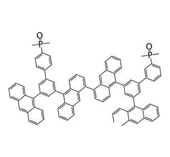 C/C=C\c1c(C)cc2ccccc2c1-c1cc(-c2cccc(P(C)(C)=O)c2)cc(-c2c3ccccc3cc3c(-c4cccc5c(-c6cc(-c7ccc(P(C)(C)=O)cc7)cc(-c7c8ccccc8cc8ccccc78)c6)c6ccccc6cc45)cccc23)c1